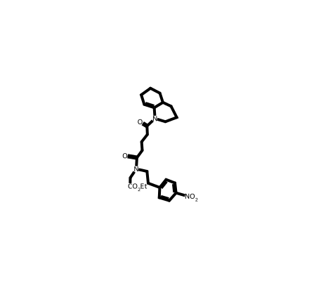 CCOC(=O)CN(CCc1ccc([N+](=O)[O-])cc1)C(=O)CCCC(=O)N1CCCC2CCCC=C21